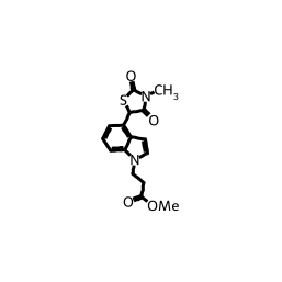 COC(=O)CCn1ccc2c(C3SC(=O)N(C)C3=O)cccc21